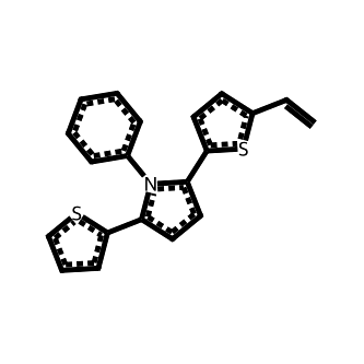 C=Cc1ccc(-c2ccc(-c3cccs3)n2-c2ccccc2)s1